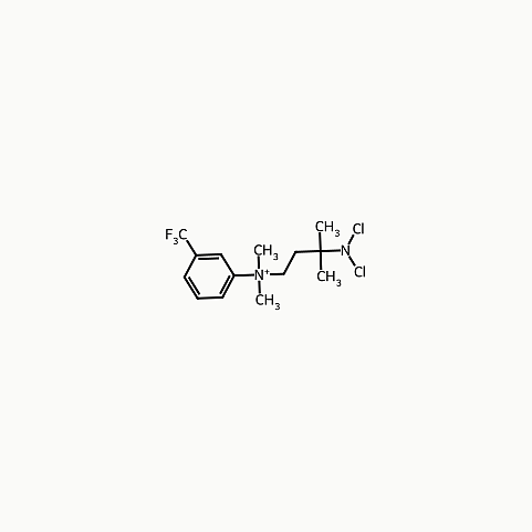 CC(C)(CC[N+](C)(C)c1cccc(C(F)(F)F)c1)N(Cl)Cl